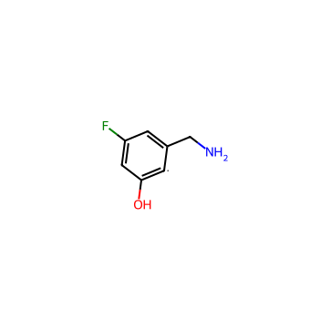 NCc1[c]c(O)cc(F)c1